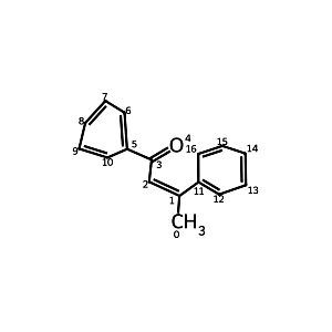 C/C(=C/C(=O)c1ccccc1)c1ccccc1